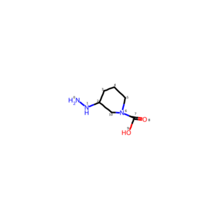 NNC1CCCN(C(=O)O)C1